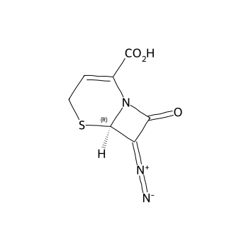 [N-]=[N+]=C1C(=O)N2C(C(=O)O)=CCS[C@H]12